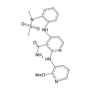 COc1ncccc1Nc1nccc(Nc2ccccc2N(C)S(C)(=O)=O)c1C(N)=O